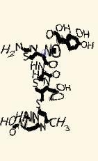 CC1=NC2=CN(C(=O)O)NN2C(SCC2=C(C(=O)O)N3C(=O)[C@@H](NC(=O)/C(=N\O[C@@H](C(=O)O)c4ccc(O)c(O)c4)c4csc(N)n4)[C@H]3SC2)=C1